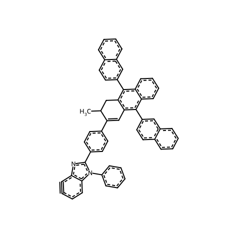 CC1Cc2c(c(-c3ccc4ccccc4c3)c3ccccc3c2-c2ccc3ccccc3c2)C=C1c1ccc(-c2nc3c#cccc3n2-c2ccccc2)cc1